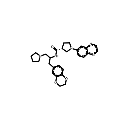 O=C(NC(Cc1ccc2c(c1)OCCO2)CN1CCCC1)[C@@H]1CCN(c2ccc3nccnc3c2)C1